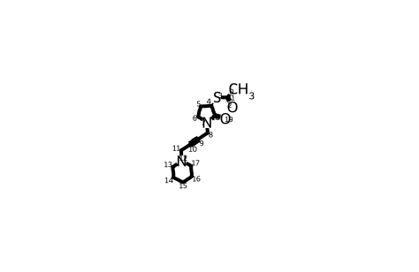 CC(=O)S[C@H]1CCN(CC#CCN2CCCCC2)C1=O